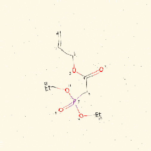 C=CCOC(=O)CP(=O)(OCC)OCC